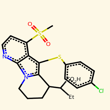 CCC(C(=O)O)C1CCCn2c1c(Sc1ccc(Cl)cc1)c1c(S(C)(=O)=O)ccnc12